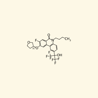 CCCCn1c(=O)c2cc(F)c(O[C@H]3CCOC3)cc2c2cc(C(O)(C(F)(F)F)C(F)(F)F)ccc21